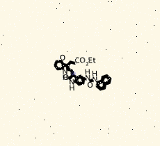 CCOC(=O)CCc1c(/C=C2\C(=O)Nc3ccc(NC(=O)Nc4cccc5ccccc45)cc32)[nH]c2c1C(=O)CCC2